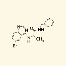 CC(Nc1ncnc2ccc(Br)cc12)C(=O)NCc1ccccc1